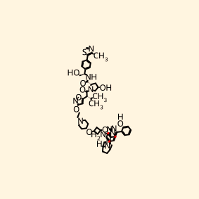 Cc1ncsc1-c1ccc([C@H](CO)NC(=O)[C@@H]2C[C@@H](O)CN2C(=O)[C@@H](c2cc(OCCN3CCC(OC4CC(Oc5cc(N6C7CC[C@@H]6CN(c6cc(-c8ccccc8O)nnc6N)C7)ccn5)C4)CC3)no2)C(C)C)cc1